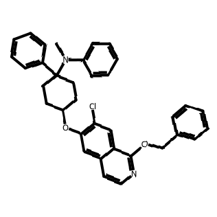 CN(c1ccccc1)C1(c2ccccc2)CCC(Oc2cc3ccnc(OCc4ccccc4)c3cc2Cl)CC1